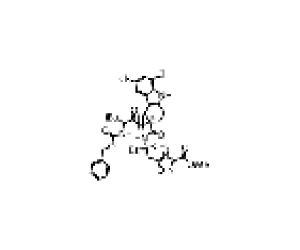 CCC(C)C(NC(=O)OCc1ccccc1)C(=O)N[C@]1(C(=O)N[C@@](C)(CC)Cc2nc(C(=O)OC)no2)CCc2[nH]c3c(Cl)cc(Cl)cc3c2C1